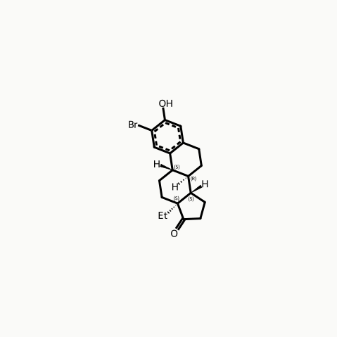 CC[C@]12CC[C@@H]3c4cc(Br)c(O)cc4CC[C@H]3[C@@H]1CCC2=O